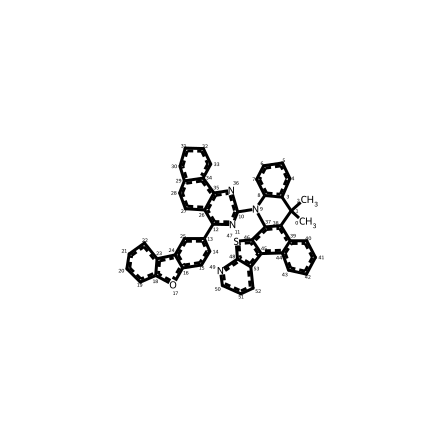 CC1(C)c2ccccc2N(c2nc(-c3ccc4oc5ccccc5c4c3)c3ccc4ccccc4c3n2)c2c1c1ccccc1c1c2sc2ncccc21